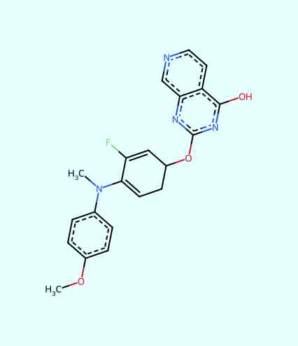 COc1ccc(N(C)C2=CCC(Oc3nc(O)c4ccncc4n3)C=C2F)cc1